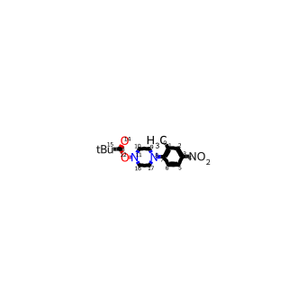 Cc1cc([N+](=O)[O-])ccc1N1CCN(OC(=O)C(C)(C)C)CC1